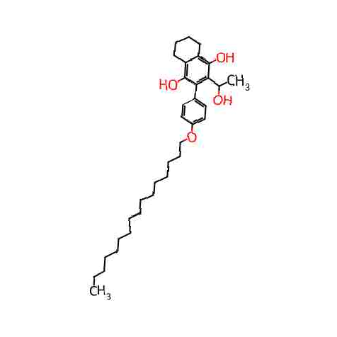 CCCCCCCCCCCCCCCCOc1ccc(-c2c(O)c3c(c(O)c2C(C)O)CCCC3)cc1